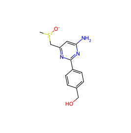 C[S+]([O-])Cc1cc(N)nc(-c2ccc(CO)cc2)n1